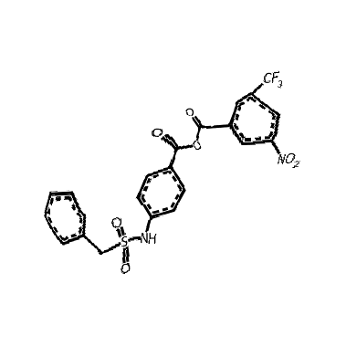 O=C(OC(=O)c1cc([N+](=O)[O-])cc(C(F)(F)F)c1)c1ccc(NS(=O)(=O)Cc2ccccc2)cc1